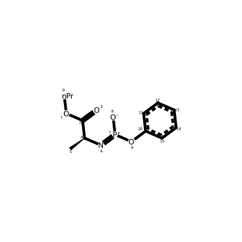 CCCOC(=O)[C@H](C)N=[P+]([O-])Oc1ccccc1